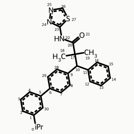 CC(C)c1cccc(-c2ccc(C(c3ccccc3)C(C)(C)C(=O)Nc3nncs3)cc2)c1